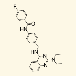 CCN(CC)c1nc(NCc2ccc(NC(=O)c3ccc(F)cc3)cc2)c2ccccc2n1